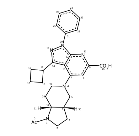 CC(=O)N1CC[C@H]2CN(c3cc(C(=O)O)nc4c3c(C3CCC3)nn4-c3ccccc3)CC[C@H]21